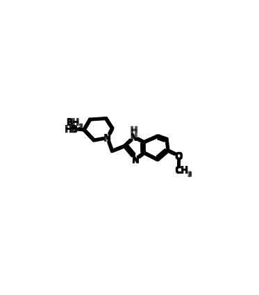 BBC1CCCN(Cc2nc3cc(OC)ccc3[nH]2)C1